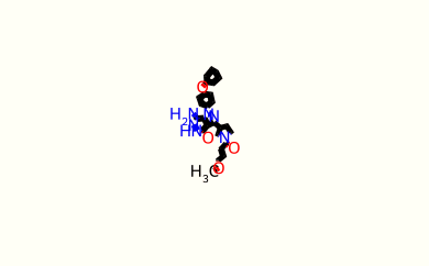 COCC=CC(=O)N1CCC(c2nn(-c3ccc(Oc4ccccc4)cc3)c3c(N)n[nH]c(=O)c23)C1